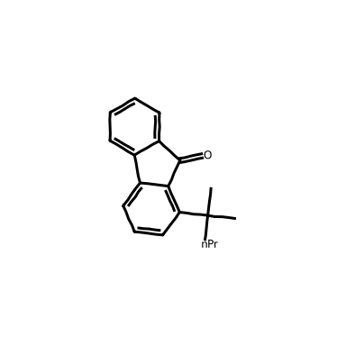 CCCC(C)(C)c1cccc2c1C(=O)c1ccccc1-2